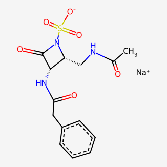 CC(=O)NC[C@@H]1[C@H](NC(=O)Cc2ccccc2)C(=O)N1S(=O)(=O)[O-].[Na+]